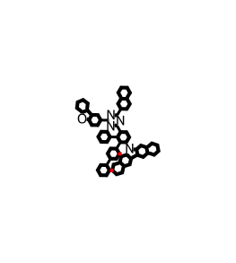 c1ccc(-c2ccc(-c3c(-n4c5cc6ccccc6cc5c5cc6ccccc6cc54)ccc(-c4nc(-c5ccc6ccccc6c5)nc(-c5ccc6oc7ccccc7c6c5)n4)c3-c3ccccc3)cc2)cc1